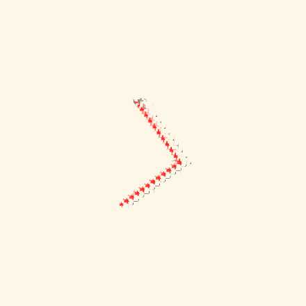 CC(=O)[O-].CC(=O)[O-].CC(=O)[O-].CC(=O)[O-].CC(=O)[O-].CC(=O)[O-].CC(=O)[O-].CC(=O)[O-].CC(=O)[O-].CC(=O)[O-].CC(=O)[O-].CC(=O)[O-].CC(=O)[O-].CC(=O)[O-].CC(=O)[O-].CC(=O)[O-].CC(=O)[O-].CC(=O)[O-].CC(=O)[O-].CC(=O)[O-].CC(=O)[O-].[Fe+3].[U+6].[U+6].[U+6]